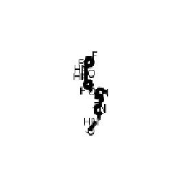 COCCNCc1ccc(-c2cc3nccc(Oc4ccc(NC(=O)Nc5ccc(F)cc5F)cc4F)c3s2)nc1